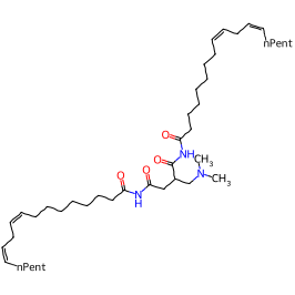 CCCCC/C=C\C/C=C\CCCCCCCC(=O)NC(=O)CC(CN(C)C)C(=O)NC(=O)CCCCCCC/C=C\C/C=C\CCCCC